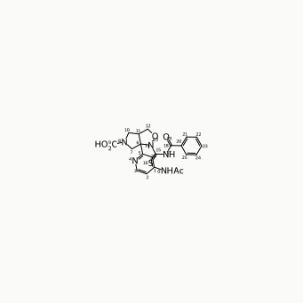 CC(=O)Nc1ccnc(C23CN(C(=O)O)CC2CON3C(=S)NC(=O)c2ccccc2)c1